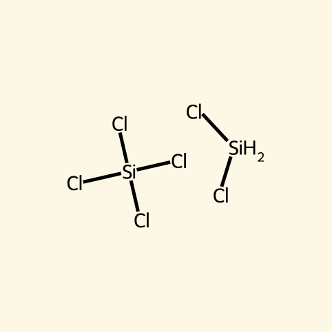 Cl[SiH2]Cl.Cl[Si](Cl)(Cl)Cl